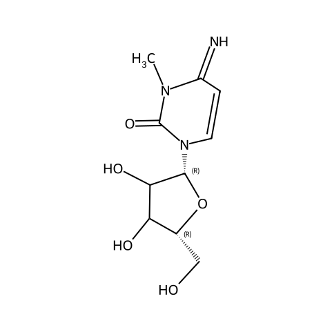 Cn1c(=N)ccn([C@@H]2O[C@H](CO)C(O)C2O)c1=O